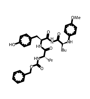 CC[C@H](C)[C@H](Nc1ccc(OC)cc1)C(=O)NC(=O)[C@H](Cc1ccc(O)cc1)NC(=O)[C@@H](NC(=O)OCc1ccccc1)C(C)C